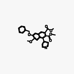 COC(=O)c1cc2cc(OCc3ccccc3)c(OC)cc2c(-c2ccncc2)c1C(=O)OC